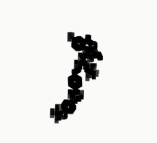 CCn1s/c(=N\C(=N\CCc2ccc(-c3ncn(-c4ccc(OC(F)(F)F)cc4)n3)cc2)SCC(F)(F)F)n(-c2ccc(F)cc2C(C)C)c1=O